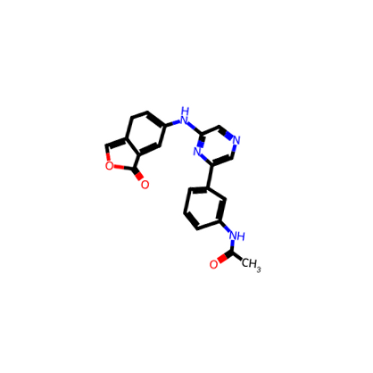 CC(=O)Nc1cccc(-c2cncc(NC3=CCC4=COC(=O)C4=C3)n2)c1